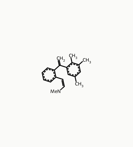 C=C(c1ccccc1/C=C\NC)c1cc(C)cc(C)c1C